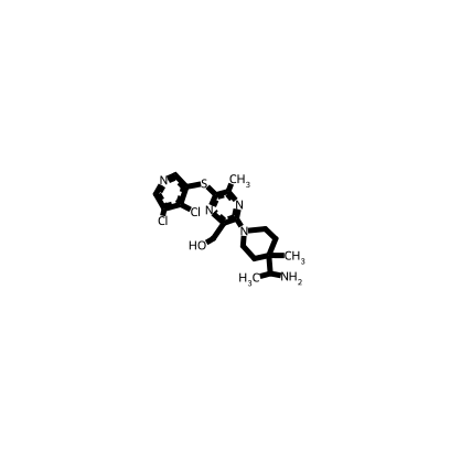 Cc1nc(N2CCC(C)(C(C)N)CC2)c(CO)nc1Sc1cncc(Cl)c1Cl